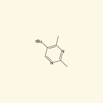 Cc1ncc(C(C)(C)C)c(C)n1